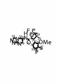 COc1c([C@H]2[C@H](C(=O)Nc3cnc4nncn4c3)O[C@@](C)(C(F)(F)F)[C@H]2C)ccc(F)c1F